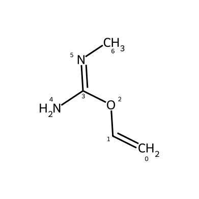 C=CO/C(N)=N\C